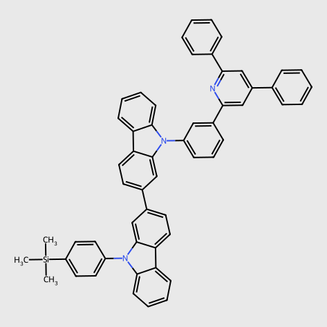 C[Si](C)(C)c1ccc(-n2c3ccccc3c3ccc(-c4ccc5c6ccccc6n(-c6cccc(-c7cc(-c8ccccc8)cc(-c8ccccc8)n7)c6)c5c4)cc32)cc1